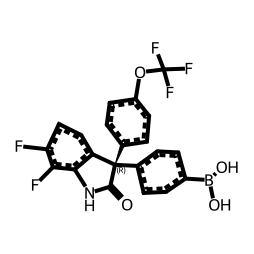 O=C1Nc2c(ccc(F)c2F)[C@]1(c1ccc(OC(F)(F)F)cc1)c1ccc(B(O)O)cc1